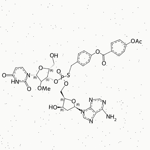 COC1[C@@H](OP(=O)(OC[C@H]2O[C@@H](n3cnc4c(N)ncnc43)C[C@H]2O)SCc2ccc(OC(=O)c3ccc(OC(C)=O)cc3)cc2)[C@@H](CO)O[C@H]1n1ccc(=O)[nH]c1=O